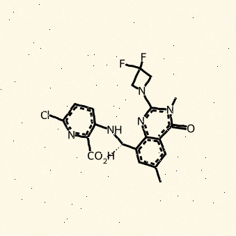 Cc1cc([C@H](C)Nc2ccc(Cl)nc2C(=O)O)c2nc(N3CC(F)(F)C3)n(C)c(=O)c2c1